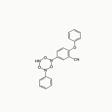 N#Cc1cc(N2ONON(c3ccccc3)O2)ccc1Oc1ccccc1